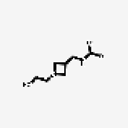 CCC(CC)NCC1CN(CCO)C1